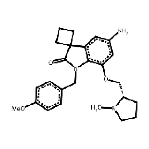 COc1ccc(CN2C(=O)C3(CCC3)c3cc(N)cc(OC[C@@H]4CCCN4C)c32)cc1